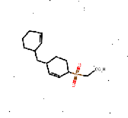 O=C(O)CS(=O)(=O)C1C=CC(CC2C=CCCC2)CC1